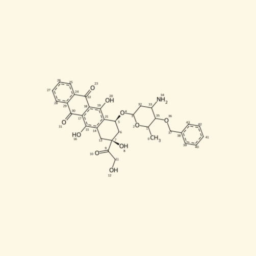 CC1OC(O[C@H]2C[C@](O)(C(=O)CO)Cc3c(O)c4c(c(O)c32)C(=O)c2ccccc2C4=O)CC(N)C1OCc1ccccc1